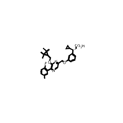 Cc1ccc(F)c(-c2ncc(COc3cccc([C@@H](CC(=O)O)C4CC4)c3)nc2OCC2C(C)(C)C2(C)C)c1